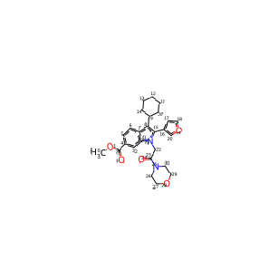 COC(=O)c1ccc2c(C3CCCCC3)c(-c3ccoc3)n(CC(=O)N3CCOCC3)c2c1